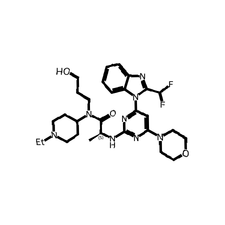 CCN1CCC(N(CCCO)C(=O)[C@H](C)Nc2nc(N3CCOCC3)cc(-n3c(C(F)F)nc4ccccc43)n2)CC1